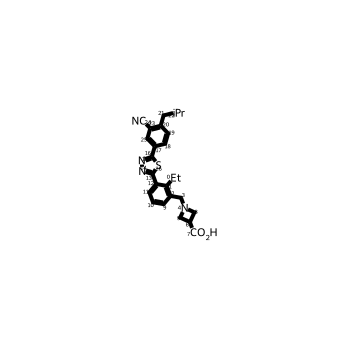 CCc1c(CN2CC(C(=O)O)C2)cccc1-c1nnc(-c2ccc(CC(C)C)c(C#N)c2)s1